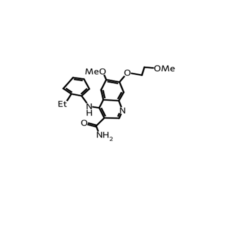 CCc1ccccc1Nc1c(C(N)=O)cnc2cc(OCCOC)c(OC)cc12